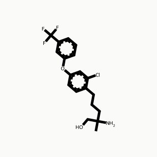 CC(N)(CO)CCCc1ccc(Oc2cccc(C(F)(F)F)c2)cc1Cl